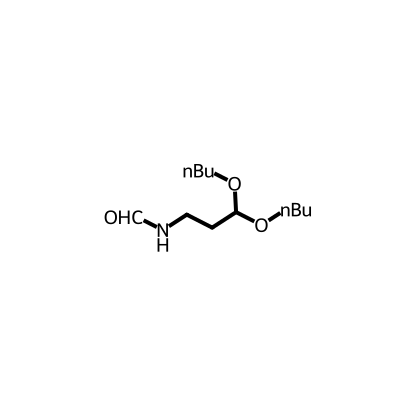 CCCCOC(CCNC=O)OCCCC